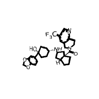 O=C(N1CCc2ncc(C(F)(F)F)cc2C1)[C@@]12CCC[C@@H]1C[C@@H](N[C@H]1CC[C@](O)(c3ccc4c(c3)OCO4)CC1)C2